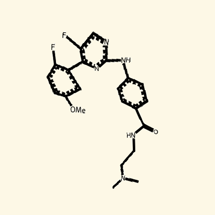 COc1ccc(F)c(-c2nc(Nc3ccc(C(=O)NCCN(C)C)cc3)ncc2F)c1